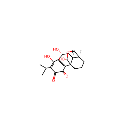 CC(C)C1=C(O)C2=C(C(=O)C1=O)[C@]13CCC[C@](C)(CO[C@H]1O)[C@@H]3C[C@H]2O